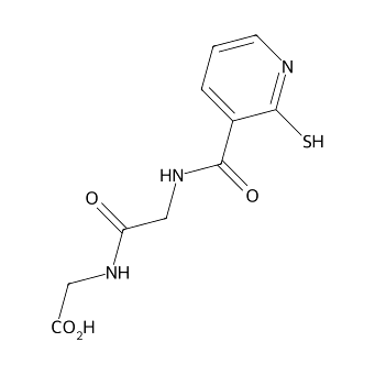 O=C(O)CNC(=O)CNC(=O)c1cccnc1S